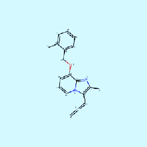 C=C=Cc1c(C)nc2c(OCc3ccccc3C)cccn12